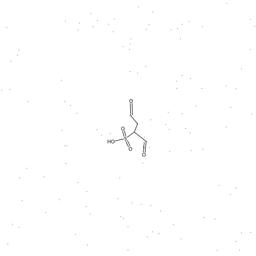 O=[C]CC([C]=O)S(=O)(=O)O